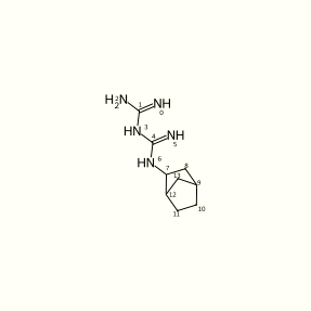 N=C(N)NC(=N)NC1CC2CCC1C2